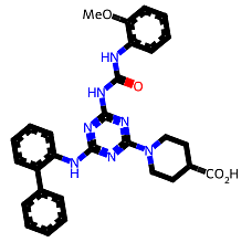 COc1ccccc1NC(=O)Nc1nc(Nc2ccccc2-c2ccccc2)nc(N2CCC(C(=O)O)CC2)n1